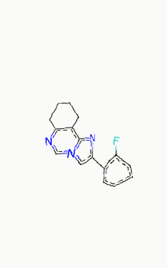 Fc1ccccc1-c1cn2cnc3c(c2n1)CCCC3